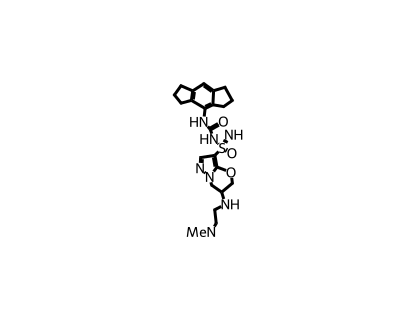 CNCCNC1COc2c(S(=N)(=O)NC(=O)Nc3c4c(cc5c3CCC5)CCC4)cnn2C1